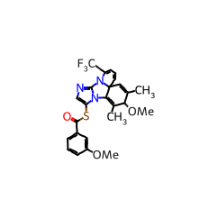 COc1cccc(C(=O)Sc2cnc3n2C2=C(C)C(OC)C(C)=CC24C=CC=C(C(F)(F)F)N34)c1